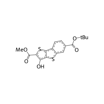 COC(=O)c1sc2c(sc3cc(C(=O)OC(C)(C)C)ccc32)c1O